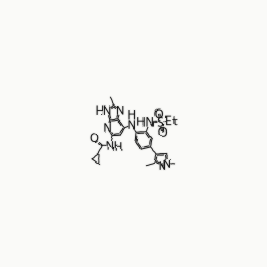 CCS(=O)(=O)Nc1cc(-c2cn(C)nc2C)ccc1Nc1cc(NC(=O)C2CC2)nc2[nH]c(C)nc12